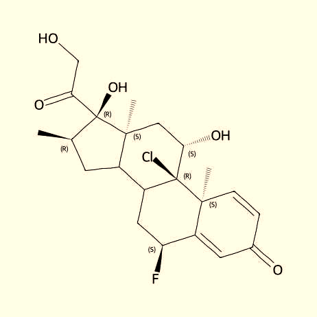 C[C@@H]1CC2C3C[C@H](F)C4=CC(=O)C=C[C@]4(C)[C@@]3(Cl)[C@@H](O)C[C@]2(C)[C@@]1(O)C(=O)CO